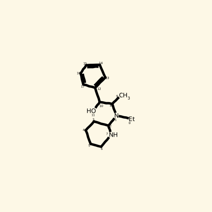 CCN(C1CCCCN1)C(C)C(O)c1ccccc1